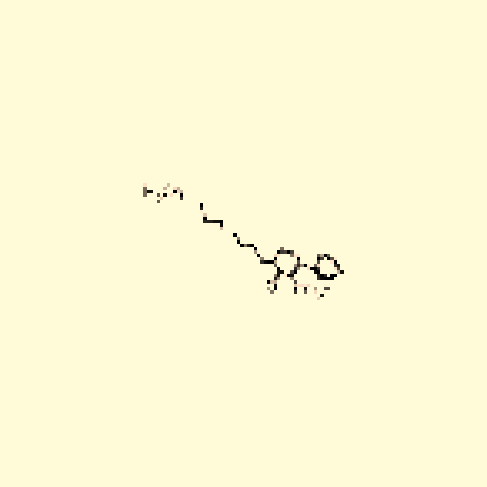 C=CCCCCCCCCCC1C=CC(c2ccccc2)=C(C(=O)OCC)C1=O